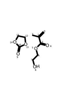 C=C(C)C(=O)OCCO.O=C1OCCO1